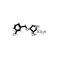 O=C(O)[C@H]1NC[C@H](OCc2cccc(Cl)c2)[C@H]1O